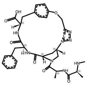 CN[C@@H](C)C(=O)N[C@@H](C)C(=O)N1C[C@@H]2C[C@H]1C(=O)N[C@@H](Cc1ccccc1)C(=O)N[C@H](C(=O)O)Cc1ccc(cc1)OCc1cn2nn1